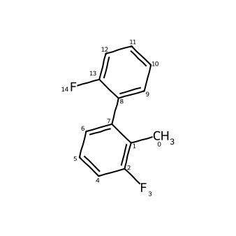 Cc1c(F)cccc1-c1ccccc1F